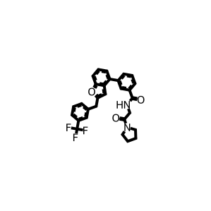 O=C(NCC(=O)N1CCCC1)c1cccc(-c2cccc3oc(Cc4cccc(C(F)(F)F)c4)cc23)c1